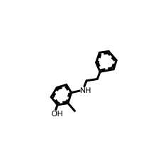 Cc1c(O)cccc1NCCc1ccccc1